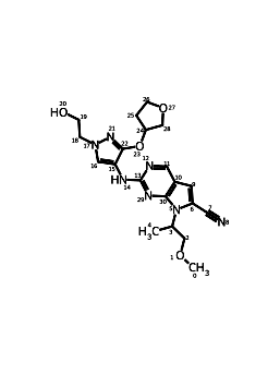 COCC(C)n1c(C#N)cc2cnc(Nc3cn(CCO)nc3OC3CCOC3)nc21